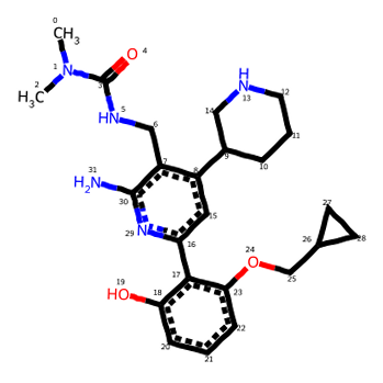 CN(C)C(=O)NCc1c(C2CCCNC2)cc(-c2c(O)cccc2OCC2CC2)nc1N